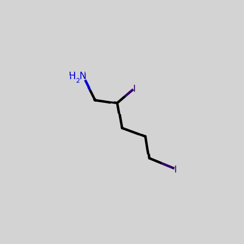 NCC(I)CCCI